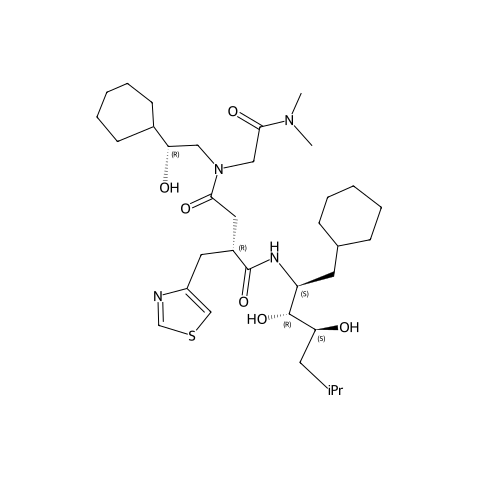 CC(C)C[C@H](O)[C@H](O)[C@H](CC1CCCCC1)NC(=O)[C@@H](CC(=O)N(CC(=O)N(C)C)C[C@H](O)C1CCCCC1)Cc1cscn1